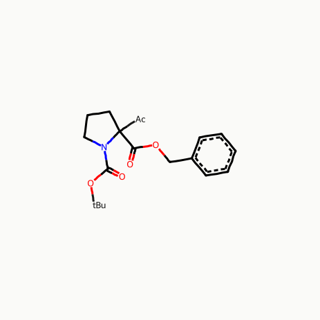 CC(=O)C1(C(=O)OCc2ccccc2)CCCN1C(=O)OC(C)(C)C